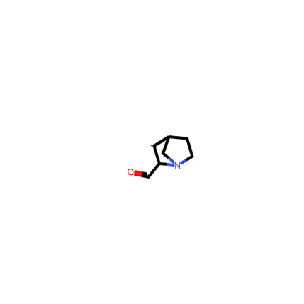 O=CC1[CH]C2CCN1C2